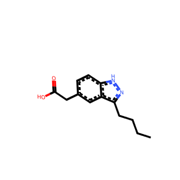 CCCCc1n[nH]c2ccc(CC(=O)O)cc12